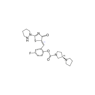 O=C1N=C(N2CCCCN2)S/C1=C\c1cc(F)ccc1OC(=O)N1CC[C@@H](N2CCCC2)C1